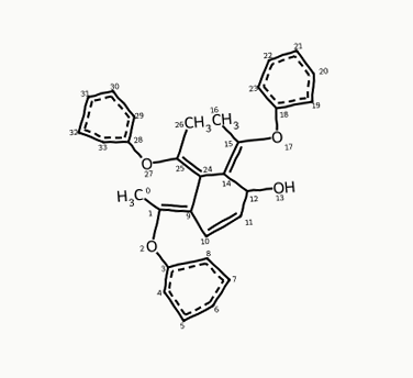 CC(Oc1ccccc1)=C1C=CC(O)C(=C(C)Oc2ccccc2)C1=C(C)Oc1ccccc1